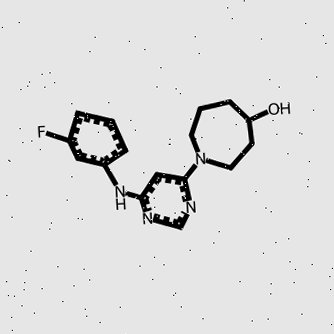 OC1CCCN(c2cc(Nc3cccc(F)c3)ncn2)CC1